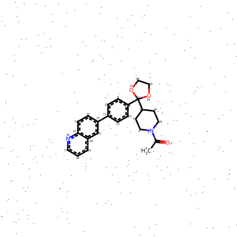 CC(=O)N1CCC(C2(c3ccc(-c4ccc5ncccc5c4)cc3)OCCO2)CC1